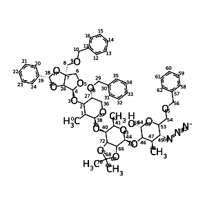 CC1C(O[C@@H]2OC[C@]3(COCc4ccccc4)O[C@@H](c4ccccc4)OC23)[C@H](OCc2ccccc2)CO[C@H]1O[C@H]1C(C)O[C@@H](OC2C(C)[C@@H](N=[N+]=[N-])C(COCc3ccccc3)O[C@H]2O)C2OC(C)(C)OC21